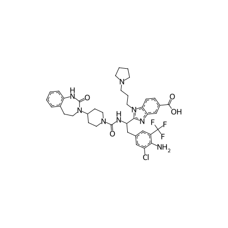 Nc1c(Cl)cc(CC(NC(=O)N2CCC(N3CCc4ccccc4NC3=O)CC2)c2nc3cc(C(=O)O)ccc3n2CCCN2CCCC2)cc1C(F)(F)F